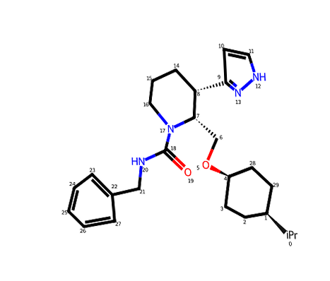 CC(C)[C@H]1CC[C@@H](OC[C@H]2[C@@H](c3cc[nH]n3)CCCN2C(=O)NCc2ccccc2)CC1